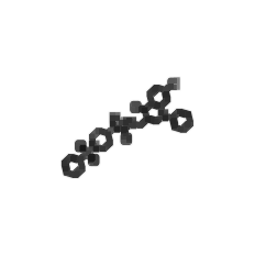 O=C(NCc1cn(-c2ccccc2)c2cc(Cl)ccc2c1=O)NC1CCN(S(=O)(=O)c2ccccc2)CC1